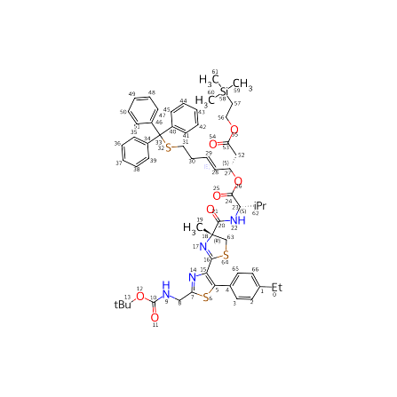 CCc1ccc(-c2sc(CNC(=O)OC(C)(C)C)nc2C2=N[C@](C)(C(=O)N[C@H](C(=O)O[C@H](/C=C/CCSC(c3ccccc3)(c3ccccc3)c3ccccc3)CC(=O)OCC[Si](C)(C)C)C(C)C)CS2)cc1